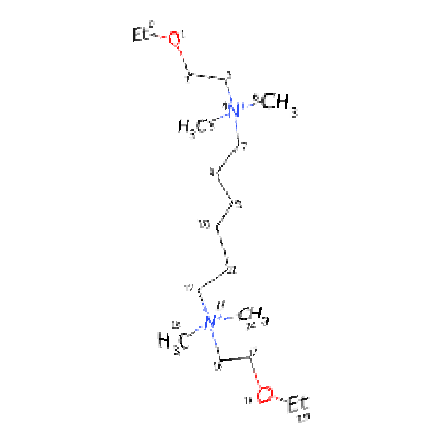 CCOCC[N+](C)(C)CCCCCC[N+](C)(C)CCOCC